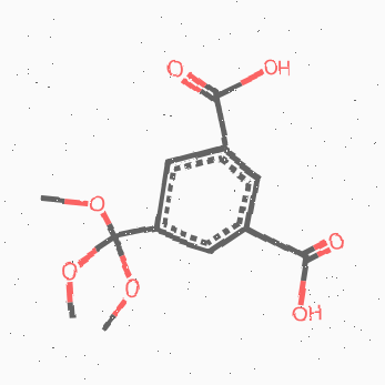 COC(OC)(OC)c1cc(C(=O)O)cc(C(=O)O)c1